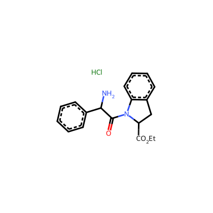 CCOC(=O)C1Cc2ccccc2N1C(=O)C(N)c1ccccc1.Cl